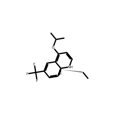 CC[C@@H]1COC2=CC(C(F)(F)F)=CC3=C(OC(C)C)C=CNC23N1